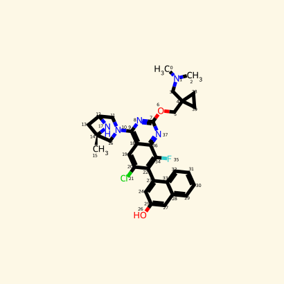 CN(C)CC1(COc2nc(N3CC4C[C@@](C)(C3)N4)c3cc(Cl)c(-c4cc(O)cc5ccccc45)c(F)c3n2)CC1